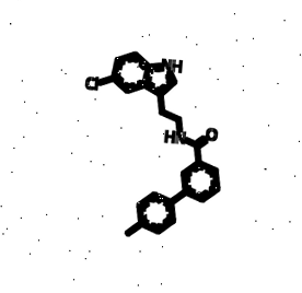 Cc1ccc(-c2cccc(C(=O)NCCc3c[nH]c4ccc(Cl)cc34)c2)cc1